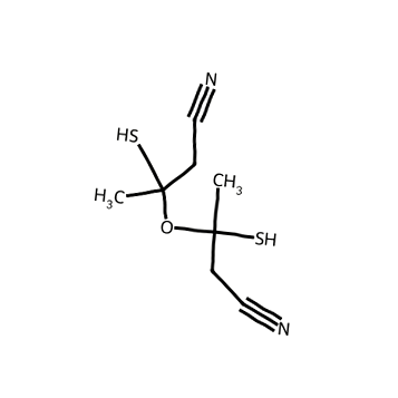 CC(S)(CC#N)OC(C)(S)CC#N